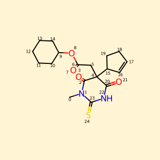 CN1C(=O)C(CC(=O)OC2CCCCC2)(C2C=CCC2)C(=O)NC1=S